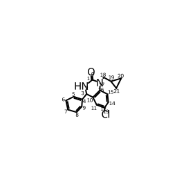 O=C1NC(c2ccccc2)c2cc(Cl)ccc2N1CC1CC1